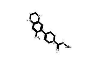 Cc1cc2c(cc1C1=CCN(C(=O)OC(C)(C)C)CC1)OCCO2